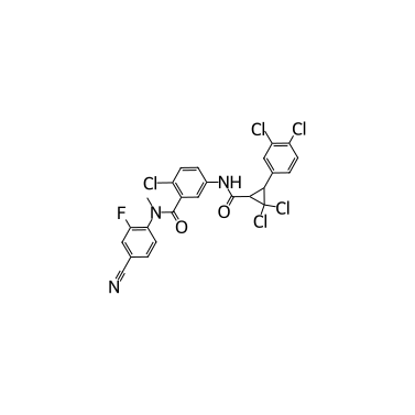 CN(C(=O)c1cc(NC(=O)C2C(c3ccc(Cl)c(Cl)c3)C2(Cl)Cl)ccc1Cl)c1ccc(C#N)cc1F